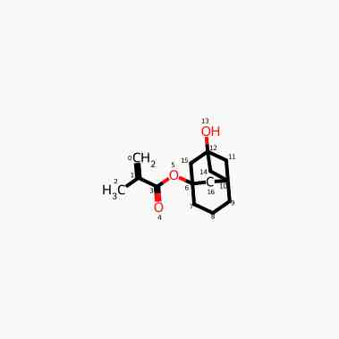 C=C(C)C(=O)OC12CCCC3(CC(O)(C3)C1)C2